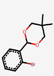 CC1(C)COC(c2ccccc2Br)OC1